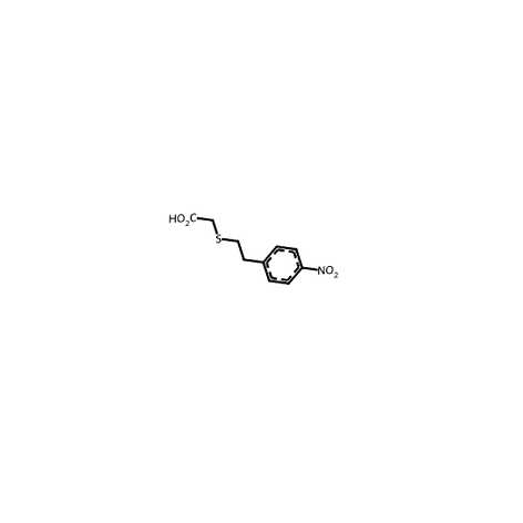 O=C(O)CSCCc1ccc([N+](=O)[O-])cc1